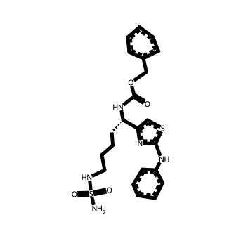 NS(=O)(=O)NCCCC[C@H](NC(=O)OCc1ccccc1)c1csc(Nc2ccccc2)n1